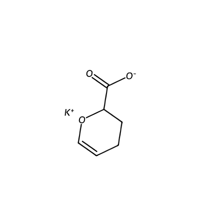 O=C([O-])C1CCC=CO1.[K+]